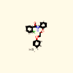 O=C(O)c1ccc(OCCOc2ccccc2NC(=O)c2ccccc2Cl)cc1